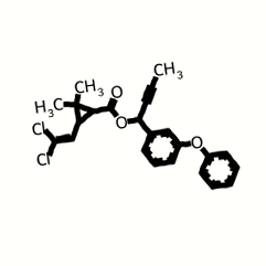 CC#CC(OC(=O)C1C(C=C(Cl)Cl)C1(C)C)c1cccc(Oc2ccccc2)c1